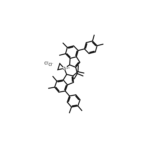 Cc1ccc(-c2cc(C)c(C)c3c2C=C(C(C)C)[CH]3[Zr+2]2([CH]3C(C(C)C)=Cc4c(-c5ccc(C)c(C)c5)cc(C)c(C)c43)[CH2][CH2]2)cc1C.[Cl-].[Cl-]